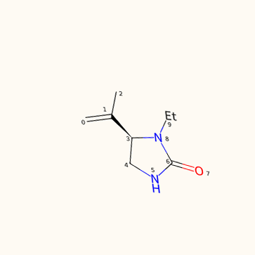 C=C(C)[C@@H]1CNC(=O)N1CC